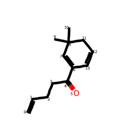 C=CCCC(=O)C1=CC(C)(C)CC=C1